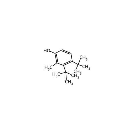 Cc1c(O)ccc(C(C)(C)C)c1C(C)(C)C